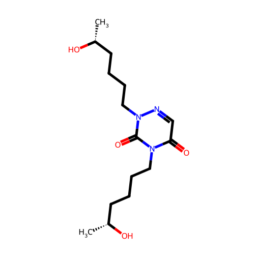 C[C@@H](O)CCCCn1ncc(=O)n(CCCC[C@@H](C)O)c1=O